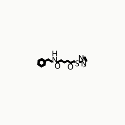 Cn1ccnc1SCC(=O)CCCC(=O)NCCc1ccccc1